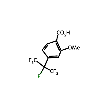 COc1cc(C(F)(C(F)(F)F)C(F)(F)F)ccc1C(=O)O